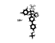 O=P([O-])([O-])OC(Cn1cnnn1)(c1ccc(F)cc1F)C(F)(F)c1ccc(-c2ccc(OCC(F)(F)F)cc2)cn1.[Na+].[Na+]